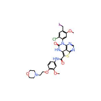 COc1cc(N2C(=O)Nc3c(C(=O)Nc4ccc(OCCN5CCOCC5)c(OC)c4)sc4ncnc2c34)c(Cl)cc1CI